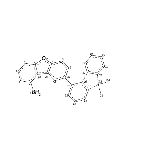 Bc1cccc2oc3ccc(-c4cccc5c4-c4ccccc4C5(C)C)cc3c12